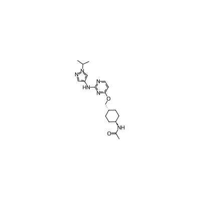 CC(=O)N[C@H]1CC[C@H](COc2ccnc(Nc3cnn(C(C)C)c3)n2)CC1